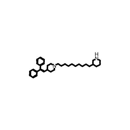 C(=C(c1ccccc1)c1ccccc1)C1CCN(CCCCCCCCCCC2CCCNC2)CC1